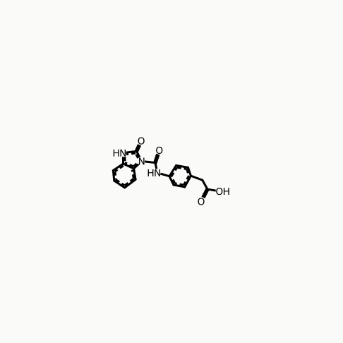 O=C(O)Cc1ccc(NC(=O)n2c(=O)[nH]c3ccccc32)cc1